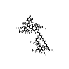 CCCCCCCCCCCC(CC(=O)O[C@H]1CN(C)C([C@@H](OC2O[C@H](CN)[C@@H](O)[C@H]2O)C2OC(n3ccc(=O)[nH]c3=O)[C@H](O)[C@@H]2O)C(=O)N(C)C1C(=O)OC)OC(=O)CC(C)CC(=O)OC1OC(C)C(OC)C(OC)C1OC